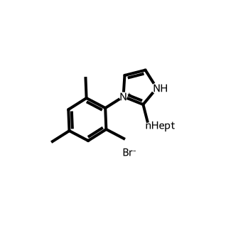 CCCCCCCc1[nH]cc[n+]1-c1c(C)cc(C)cc1C.[Br-]